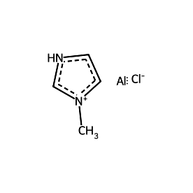 C[n+]1cc[nH]c1.[Al].[Cl-]